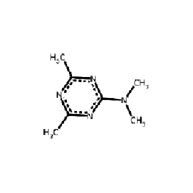 Cc1nc(C)nc(N(C)C)n1